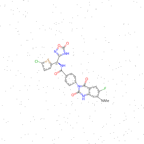 CNc1cc2[nH]c(=O)n(-c3ccc(C(=O)N[C@H](c4noc(=O)[nH]4)c4ccc(Cl)s4)cc3)c(=O)c2cc1F